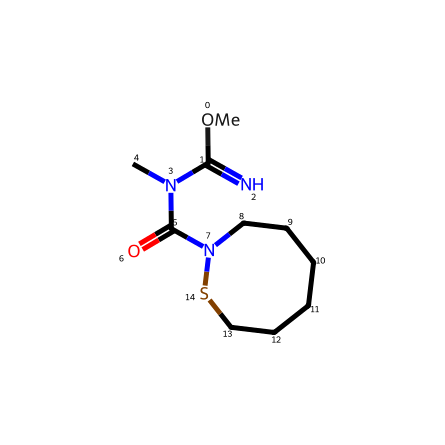 COC(=N)N(C)C(=O)N1CCCCCCS1